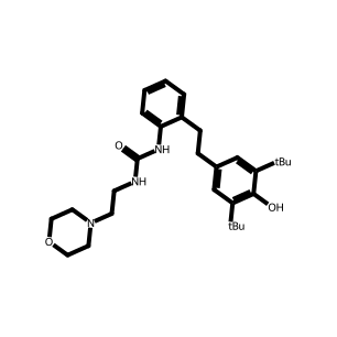 CC(C)(C)c1cc(CCc2ccccc2NC(=O)NCCN2CCOCC2)cc(C(C)(C)C)c1O